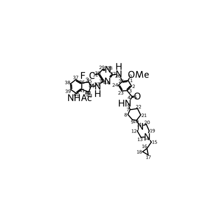 COc1cc(C(=O)NC2CCC(N3CCN(CC4CC4)CC3)CC2)ccc1Nc1ncc(C(F)(F)F)c(N[C@@H]2Cc3ccccc3[C@H]2NC(C)=O)n1